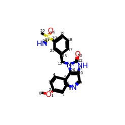 COc1ccc2c(c1)ncc1[nH]c(=O)n(Cc3cccc(S(C)(=N)=O)c3)c12